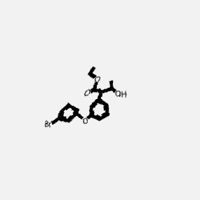 CCOC(=O)C(c1cccc(Oc2cccc(Br)c2)c1)C(C)O